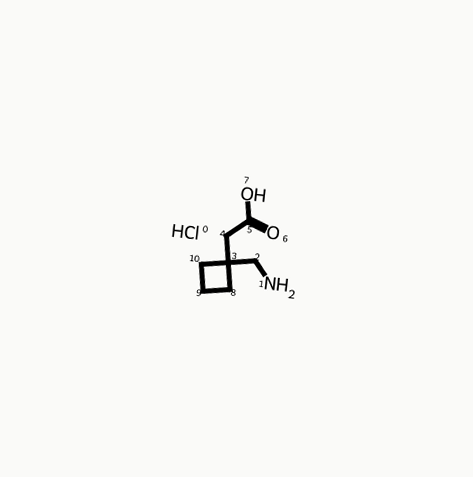 Cl.NCC1(CC(=O)O)CCC1